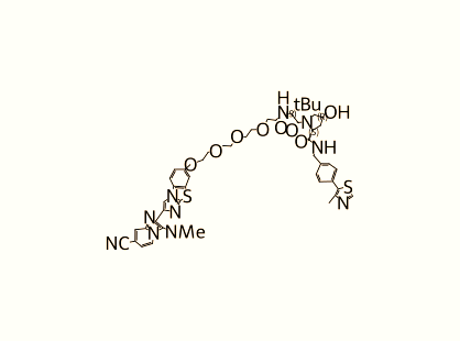 CNc1c(-c2cn3c(n2)sc2cc(OCCOCCOCCOCC(=O)N[C@H](C(=O)N4C[C@H](O)C[C@H]4C(=O)NCc4ccc(-c5scnc5C)cc4)C(C)(C)C)ccc23)nc2cc(C#N)ccn12